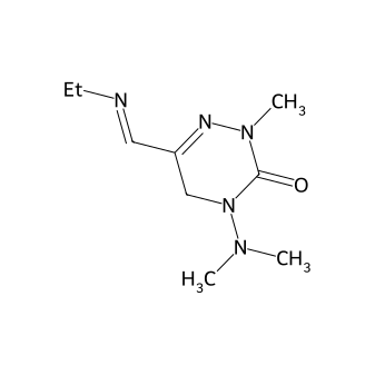 CC/N=C/C1=NN(C)C(=O)N(N(C)C)C1